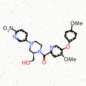 COc1ccc(Oc2cnc(C(=O)N3CCN(c4ccc([N+](=O)[O-])nc4)C[C@@H]3CO)cc2OC)cc1